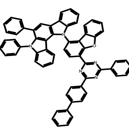 c1ccc(-c2ccc(-c3nc(-c4ccccc4)nc(-c4ccc(-n5c6ccccc6c6cc(-c7ccccc7)c7c(c8ccccc8n7-c7ccccc7)c65)c5c4oc4ccccc45)n3)cc2)cc1